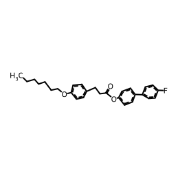 CCCCCCCOc1ccc(CCC(=O)Oc2ccc(-c3ccc(F)cc3)cc2)cc1